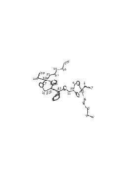 CCCCCC1(CC)OCC(COC(=O)C2COC(CC)(CCCCC)O2)O1